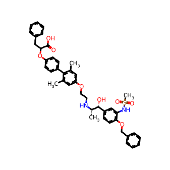 Cc1cc(OCCN[C@@H](C)[C@H](O)c2ccc(OCc3ccccc3)c(NS(C)(=O)=O)c2)cc(C)c1-c1ccc(OC(Cc2ccccc2)C(=O)O)cc1